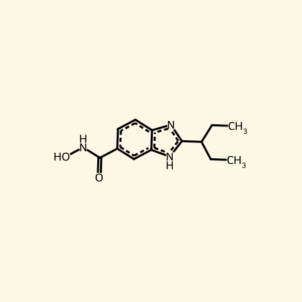 CCC(CC)c1nc2ccc(C(=O)NO)cc2[nH]1